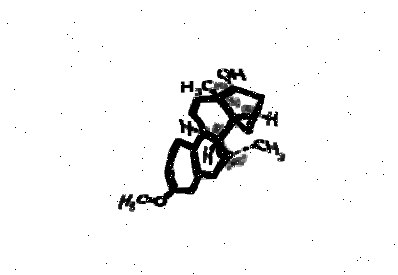 COC1=CCC2=C(C1)C[C@@H](C)[C@@H]1[C@@H]2CC[C@]2(C)[C@H](O)C[C@H]3C[C@@]312